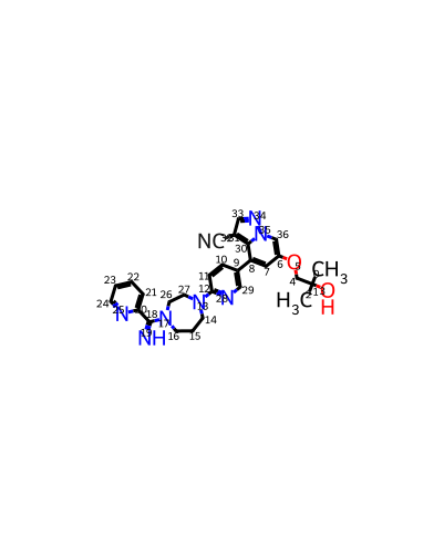 CC(C)(O)COc1cc(-c2ccc(N3CCCN(C(=N)c4ccccn4)CC3)nc2)c2c(C#N)cnn2c1